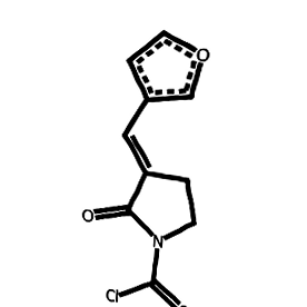 O=C(Cl)N1CCC(=Cc2ccoc2)C1=O